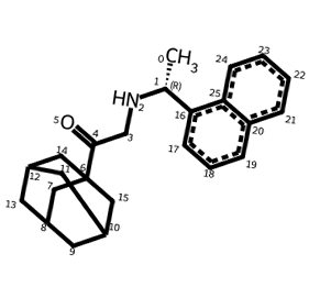 C[C@@H](NCC(=O)C12CC3CC(CC(C3)C1)C2)c1cccc2ccccc12